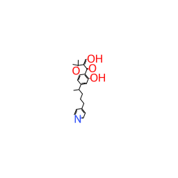 CC(CCCc1ccncc1)c1cc(O)c2c(c1)OC(C)(C)C(=CO)C2=O